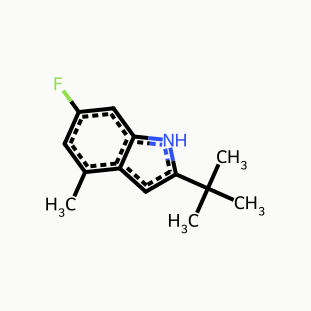 Cc1cc(F)cc2[nH]c(C(C)(C)C)cc12